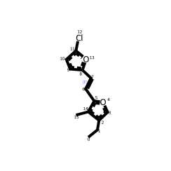 CCc1coc(/C=C/c2ccc(Cl)o2)c1C